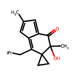 CC1=CC2=C(CC(C)C)C3(CC3)C(C)(O)C(=O)C2=C1